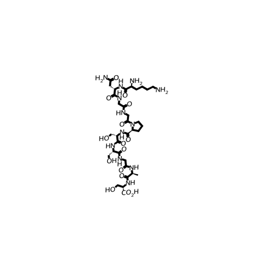 C[C@H](NC(=O)CNC(=O)[C@H](CO)NC(=O)[C@H](CO)NC(=O)[C@@H]1CCCN1C(=O)CNC(=O)CNC(=O)[C@H](CC(N)=O)NC(=O)[C@@H](N)CCCCN)C(=O)N[C@@H](CO)C(=O)O